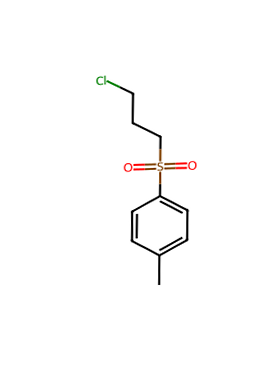 Cc1ccc(S(=O)(=O)CCCCl)cc1